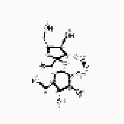 OC[C@H]1O[C@@](CO)(O[C@H]2O[C@H](CO)[C@@H](O)[C@H](O)[C@H]2O)[C@@H](O)[C@@H]1O.[O]=[Fe]